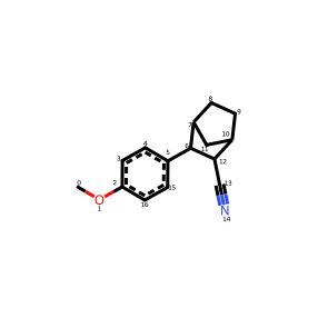 COc1ccc(C2C3CCC(C3)C2C#N)cc1